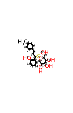 Cc1ccc(C=CC(=S)c2c(O)cccc2[C@@H]2O[C@H](CO)[C@@H](O)[C@H](O)[C@H]2O)cc1